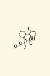 CCC(OCOC)N(C(=O)O)[C@H]1CCCC[C@H]1c1ccccc1F